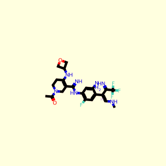 CN/C=C(\C(=N)C(F)(F)F)c1cc(F)c(NC(=N)C2=C(NC3COC3)CCN(C(C)=O)C2)cc1N